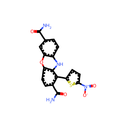 NC(=O)c1ccc2c(c1)Oc1ccc(C(N)=O)c(-c3ccc([N+](=O)[O-])s3)c1N2